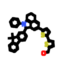 CC1(C)c2ccccc2-c2ccc(C3C4C=C(c5ccc(-c6ccc(C=O)s6)s5)C=C5CCCC(=C54)N3c3ccccc3)cc21